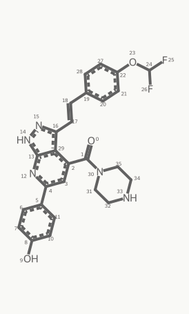 O=C(c1cc(-c2ccc(O)cc2)nc2[nH]nc(C=Cc3ccc(OC(F)F)cc3)c12)N1CCNCC1